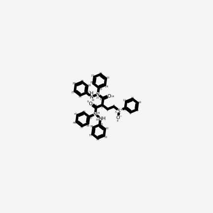 O=C(C(CC[S+]([O-])c1ccccc1)C(=O)N(Nc1ccccc1)c1ccccc1)N(Nc1ccccc1)c1ccccc1